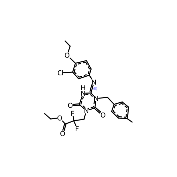 CCOC(=O)C(F)(F)Cn1c(=O)[nH]/c(=N\c2ccc(OCC)c(Cl)c2)n(Cc2ccc(C)cc2)c1=O